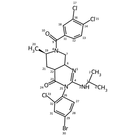 CC(C)NC1=NC2CN(C(=O)c3ccc(Cl)c(Cl)c3)[C@H](C)CC2C(=O)N1c1ccc(Br)cc1Cl